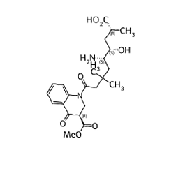 COC(=O)[C@@H]1CN(C(=O)CC(C)(C)C[C@H](N)[C@@H](O)C[C@@H](C)C(=O)O)c2ccccc2C1=O